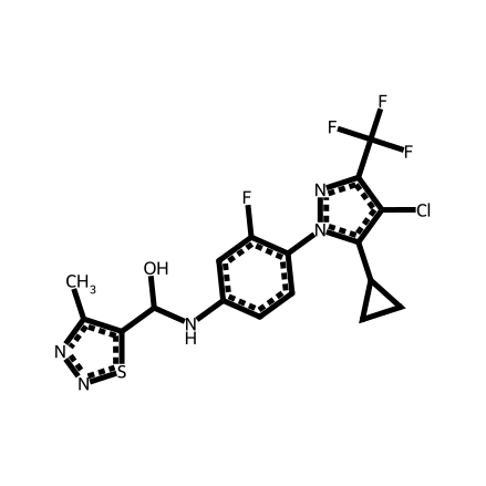 Cc1nnsc1C(O)Nc1ccc(-n2nc(C(F)(F)F)c(Cl)c2C2CC2)c(F)c1